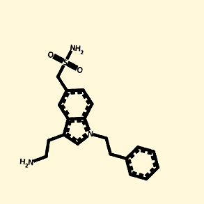 NCCc1cn(CCc2ccccc2)c2ccc(CS(N)(=O)=O)cc12